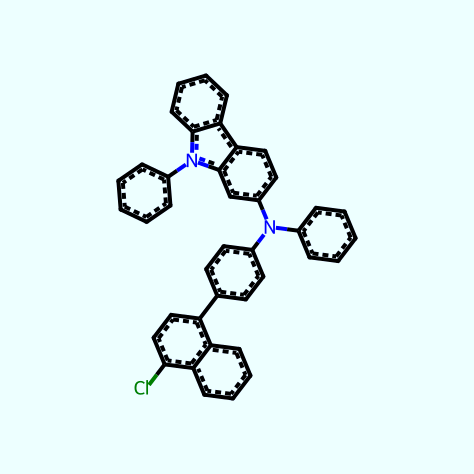 Clc1ccc(-c2ccc(N(c3ccccc3)c3ccc4c5ccccc5n(-c5ccccc5)c4c3)cc2)c2ccccc12